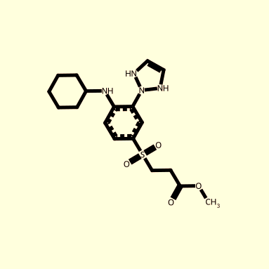 COC(=O)CCS(=O)(=O)c1ccc(NC2CCCCC2)c(N2NC=CN2)c1